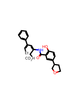 CC/C=C(\C=C(/CC(=O)O)NC(=O)c1cc(C2CCOC2)ccc1O)c1ccccc1